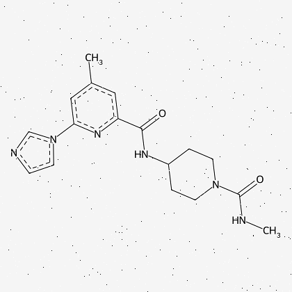 CNC(=O)N1CCC(NC(=O)c2cc(C)cc(-n3ccnc3)n2)CC1